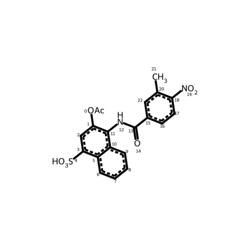 CC(=O)Oc1cc(S(=O)(=O)O)c2ccccc2c1NC(=O)c1ccc([N+](=O)[O-])c(C)c1